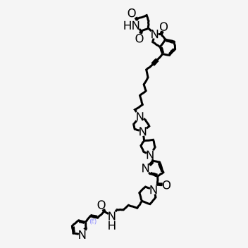 O=C(/C=C/c1cccnc1)NCCCCC1CCN(C(=O)c2ccc(N3CCC(N4CCN(CCCCCCCC#Cc5cccc6c5CN(C5CCC(=O)NC5=O)C6=O)CC4)CC3)nc2)CC1